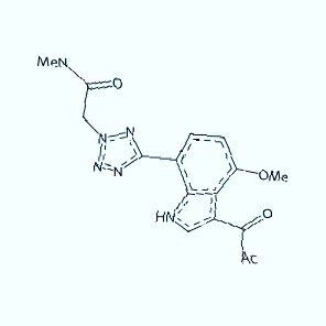 CNC(=O)Cn1nnc(-c2ccc(OC)c3c(C(=O)C(C)=O)c[nH]c23)n1